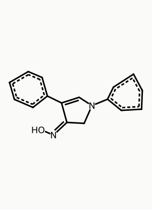 ON=C1CN(c2ccccc2)C=C1c1ccccc1